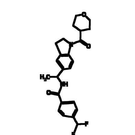 CC(NC(=O)c1ccc(C(F)F)cc1)c1ccc2c(c1)CCN2C(=O)C1CCOCC1